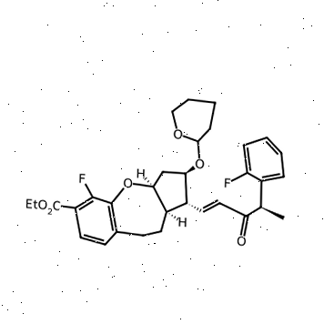 CCOC(=O)c1ccc2c(c1F)O[C@H]1C[C@@H](OC3CCCCO3)[C@H](/C=C/C(=O)[C@H](C)c3ccccc3F)[C@H]1CC2